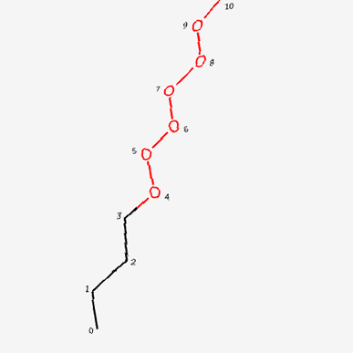 CCCCOOOOOOO